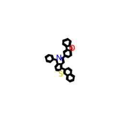 c1ccc(-c2nc(-c3ccc4oc5ccccc5c4c3)cc3c2ccc2sc4c5ccccc5ccc4c23)cc1